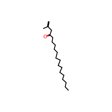 C=C(C)CC(=O)CCCCCCCCCCCCCCC